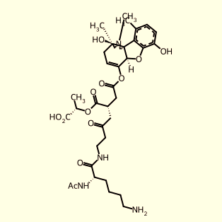 CC(=O)N[C@@H](CCCCN)C(=O)NCCC(=O)C[C@@H](CC(=O)OC1=CC[C@@]2(O)[C@@H](C)N(C)C[C@@]23c2c(C)ccc(O)c2O[C@@H]13)C(=O)O[C@@H](C)C(=O)O